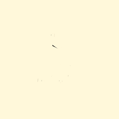 CC[C@H]1CCCC(=O)[C@@H]1CC(=O)O